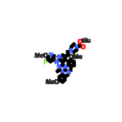 COc1ccc(CN(Cc2ccc(OC)cc2)c2nc(C)nc(-c3cc(CCN4CCN(C(=O)OC(C)(C)C)C[C@@H]4C)cnc3Nc3cnc(OC)c(F)c3)n2)cc1